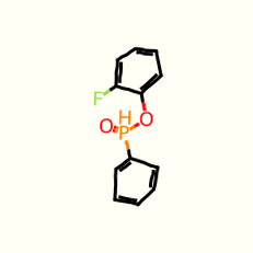 O=[PH](Oc1ccccc1F)c1ccccc1